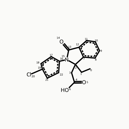 CCC1(CC(=O)O)c2ccccc2C(=O)N1c1ccc(Cl)cc1